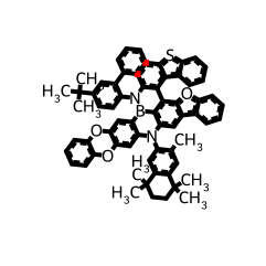 Cc1cc2c(cc1N1c3cc4c(cc3B3c5c1cc1c(oc6ccccc61)c5-c1c(ccc5sc6ccccc6c15)N3c1ccc(C(C)(C)C)cc1-c1ccccc1)Oc1ccccc1O4)C(C)(C)CCC2(C)C